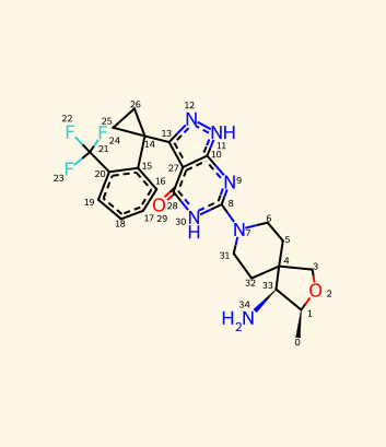 C[C@@H]1OCC2(CCN(c3nc4[nH]nc(C5(c6ccccc6C(F)(F)F)CC5)c4c(=O)[nH]3)CC2)[C@@H]1N